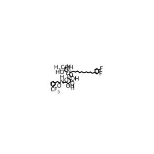 C[C@@H](O)[C@@H](O)[C@H](CO[C@H]1OC(CNC(=O)Cc2cccc(C(F)(F)F)c2)[C@H](O)C(O)C1O)NC(=O)CCCCCCCCCCc1ccc(F)c(F)c1